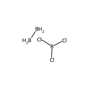 BB.ClB(Cl)Cl